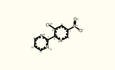 O=[N+]([O-])c1cnc(-c2ncccn2)c(Cl)c1